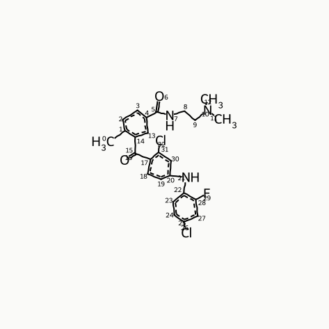 Cc1ccc(C(=O)NCCN(C)C)cc1C(=O)c1ccc(Nc2ccc(Cl)cc2F)cc1Cl